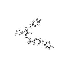 Cc1ccc2c(c1)c(/C=C/C(=O)N1CCN(CCc3ccc(F)cc3)CC1)c(C)n2CCCN1CCN(C)CC1